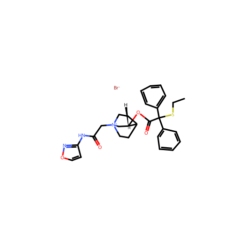 CCSC(C(=O)O[C@H]1C[N+]2(CC(=O)Nc3ccon3)CCC1CC2)(c1ccccc1)c1ccccc1.[Br-]